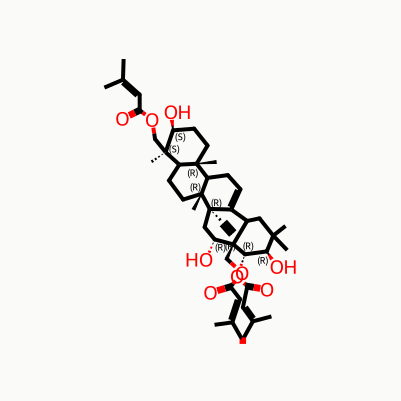 C#C[C@@]12C[C@@H](O)[C@]3(COC(=O)C=C(C)C)C(CC(C)(C)[C@@H](O)[C@@H]3OC(=O)C=C(C)C)C1=CCC1[C@@]3(C)CC[C@H](O)[C@](C)(COC(=O)C=C(C)C)C3CC[C@]12C